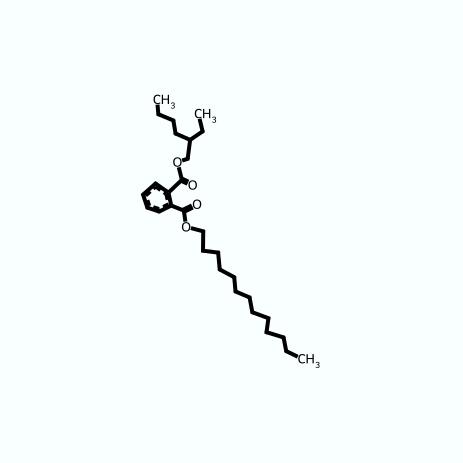 CCCCCCCCCCCCCOC(=O)c1ccccc1C(=O)OCC(CC)CCCC